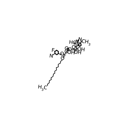 C#C[C@@]1(c2ccc3c(C)ncnn23)O[C@H](COP(=O)(O)OC[C@@H](COCCCCCCCCCCCCCCCCCC)OCc2ccc(F)c(C#N)c2)[C@@H](O)[C@H]1O